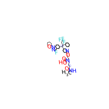 CNC(=O)/C=C/CN(CCOc1ccc(/C(=C(/CC(F)(F)F)c2ccccc2)c2ccc3c(c2)c(F)nn3C2CCCCO2)cn1)C(=O)O